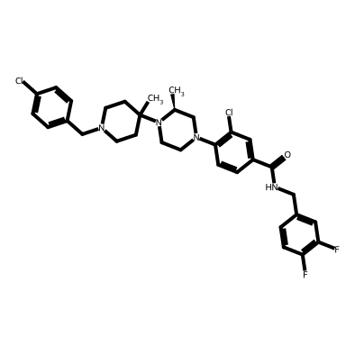 C[C@H]1CN(c2ccc(C(=O)NCc3ccc(F)c(F)c3)cc2Cl)CCN1C1(C)CCN(Cc2ccc(Cl)cc2)CC1